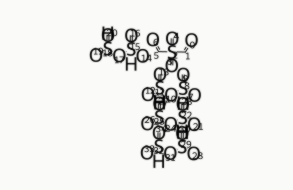 O=CS(=O)(=O)C=O.O=[SH](=O)O[SH](=O)=O.O=[SH](=O)O[SH](=O)=O.O=[SH](=O)O[SH](=O)=O.O=[SH](=O)O[SH](=O)=O